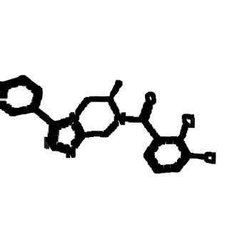 C[C@@H]1Cn2c(nnc2-c2ccccc2)CN1C(=O)c1cccc(Cl)c1Cl